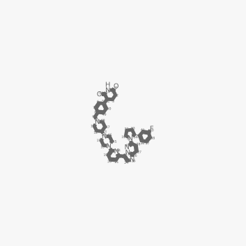 O=C1CCC(c2ccc(CN3CCC(N4CCN(c5cccc(-c6cnc7ccc(N8CCC[C@@H]8c8cccc(F)c8)nn67)n5)CC4)CC3)cc2)C(=O)N1